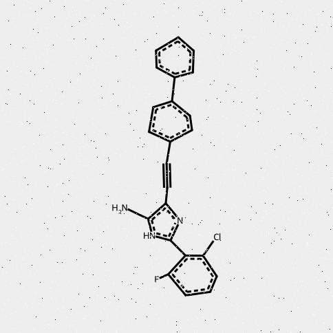 Nc1[nH]c(-c2c(F)cccc2Cl)nc1C#Cc1ccc(-c2ccccc2)cc1